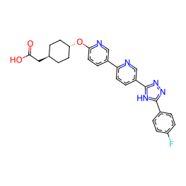 O=C(O)C[C@H]1CC[C@H](Oc2ccc(-c3ccc(-c4nnc(-c5ccc(F)cc5)[nH]4)cn3)cn2)CC1